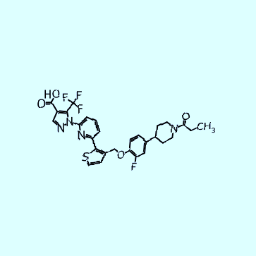 CCC(=O)N1CCC(c2ccc(OCc3ccsc3-c3cccc(-n4ncc(C(=O)O)c4C(F)(F)F)n3)c(F)c2)CC1